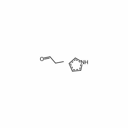 CCC=O.c1cc[nH]c1